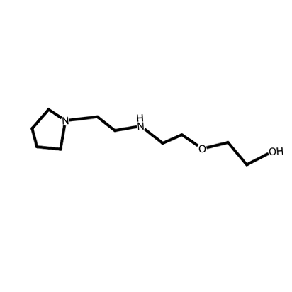 OCCOCCNCCN1CCCC1